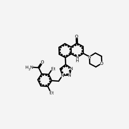 CCc1ccc(C(N)=O)c(CC)c1Cn1cc(-c2cccc3c(=O)cc(N4CCOCC4)[nH]c23)nn1